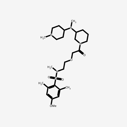 COc1cc(C)c(S(=O)(=O)N(C)CCOCC(=O)N2CCCC(N(C)C3CCN(C)CC3)C2)c(C)c1